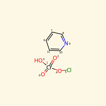 [O]=[Cr](=[O])([OH])[O]Cl.c1ccncc1